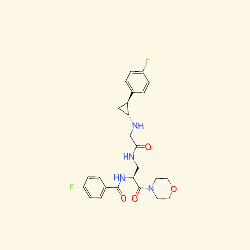 O=C(CN[C@@H]1C[C@H]1c1ccc(F)cc1)NC[C@H](NC(=O)c1ccc(F)cc1)C(=O)N1CCOCC1